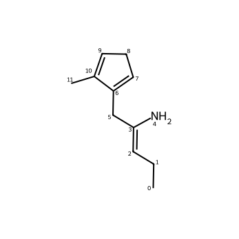 CC/C=C(\N)CC1=CCC=C1C